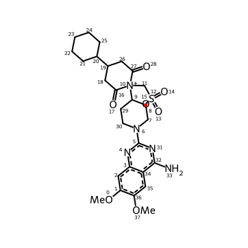 COc1cc2nc(N3CCC([N+]4(CS(=O)(=O)[O-])C(=O)CC(C5CCCCC5)CC4=O)CC3)nc(N)c2cc1OC